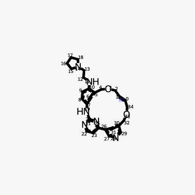 C1=C/COCc2cc(ccc2NCCN2CCCC2)Nc2nccc(n2)-c2cncc(c2)COC/1